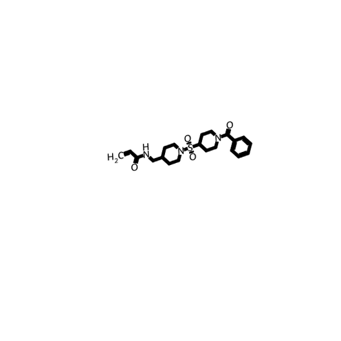 C=CC(=O)NCC1CCN(S(=O)(=O)C2CCN(C(=O)c3ccccc3)CC2)CC1